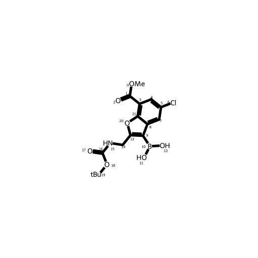 COC(=O)c1cc(Cl)cc2c(B(O)O)c(CNC(=O)OC(C)(C)C)oc12